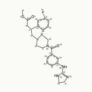 COC(=O)CC(CC1CCN(C(=O)c2cccc(NC3=NCCN3)c2)CC1)c1cccc(F)c1